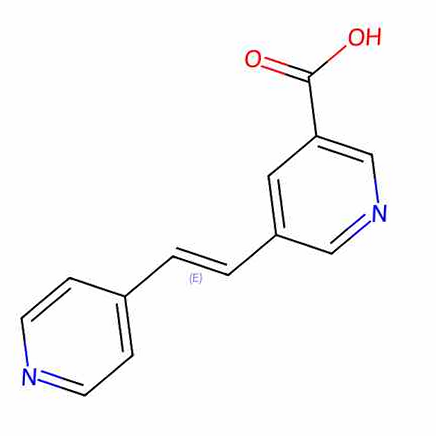 O=C(O)c1cncc(/C=C/c2ccncc2)c1